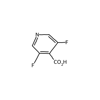 O=C(O)c1c(F)cncc1F